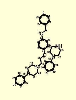 c1ccc(COc2ccc(OCCN3CCN(c4ccccc4)CC3)cc2)cc1.c1ccc(N2CCNCC2)cc1